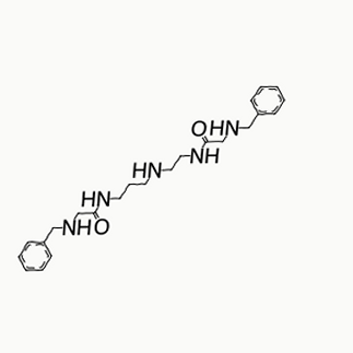 O=C(CNCc1ccccc1)NCCCNCCNC(=O)CNCc1ccccc1